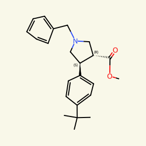 COC(=O)[C@H]1CN(Cc2ccccc2)C[C@@H]1c1ccc(C(C)(C)C)cc1